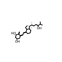 C=C1/C(=C\C=C2CCC[C@@]3(C)C2CC[C@@H]3[C@H](C)CCC(O)C(C)C)C[C@@H](O)C[C@H]1O